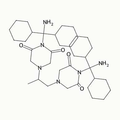 CC(CN1CC(=O)N(C(N)(C2CCCCC2)C2CCCCC2)C(=O)C1)N1CC(=O)N(C(N)(C2CCCCC2)C2CCCCC2)C(=O)C1